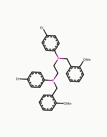 CCc1ccc(P(CCP(Cc2ccccc2OC)c2ccc(CC)cc2)Cc2ccccc2OC)cc1